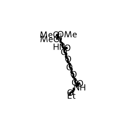 [CH2]COCCNC(=O)OCCOCCOCCOCCOC(=O)NCCC[Si](OC)(OC)OC